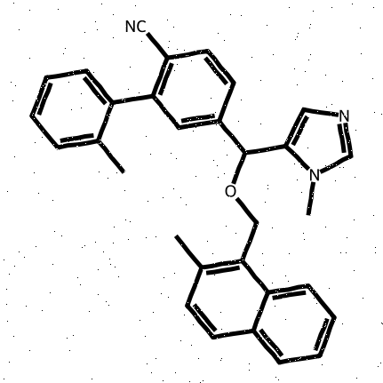 Cc1ccccc1-c1cc(C(OCc2c(C)ccc3ccccc23)c2cncn2C)ccc1C#N